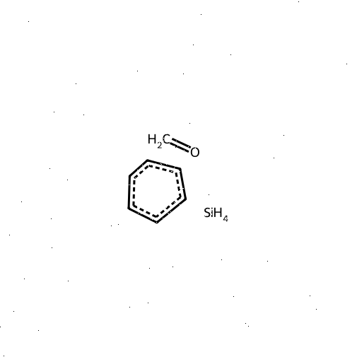 C=O.[SiH4].c1ccccc1